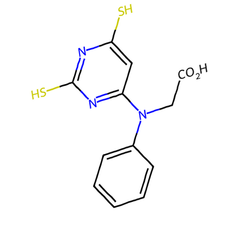 O=C(O)CN(c1ccccc1)c1cc(S)nc(S)n1